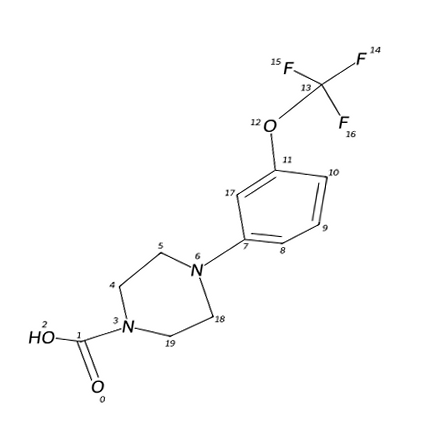 O=C(O)N1CCN(c2cccc(OC(F)(F)F)c2)CC1